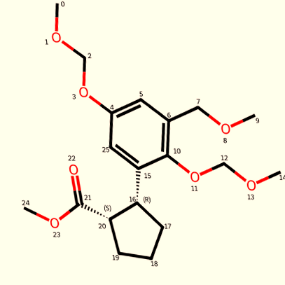 COCOc1cc(COC)c(OCOC)c([C@@H]2CCC[C@@H]2C(=O)OC)c1